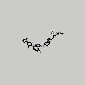 COC(=O)CC1COc2cc(O[C@@H]3CCc4c(-c5c(C)cc(-c6nccs6)cc5C)ccc(F)c43)ccc21